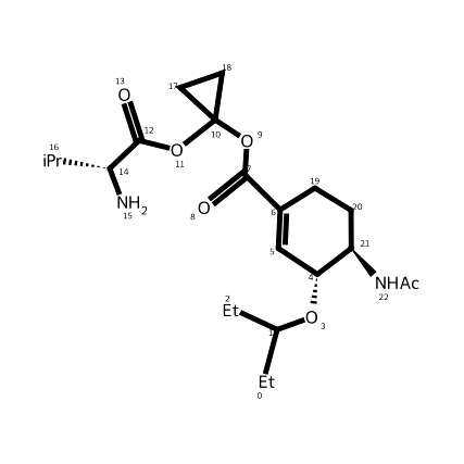 CCC(CC)O[C@@H]1C=C(C(=O)OC2(OC(=O)[C@H](N)C(C)C)CC2)CC[C@H]1NC(C)=O